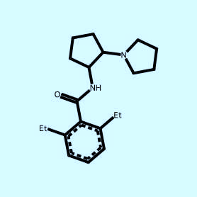 CCc1cccc(CC)c1C(=O)NC1CCCC1N1CCCC1